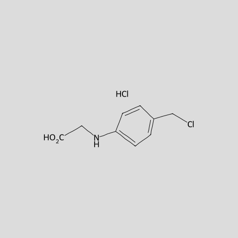 Cl.O=C(O)CNc1ccc(CCl)cc1